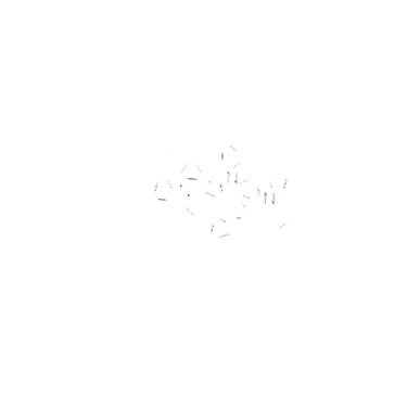 CC1CCc2c(cccc2N(c2ccccc2)C2C=CC3c4ccccc4C4(c5cccc(N(c6ccccc6)c6ccc7c(c6)c6c(n7C7CCC=CC7C)C=CCC6)c5C5C=CC=CC54)C3C2)C1